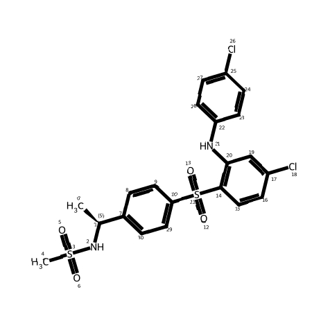 C[C@H](NS(C)(=O)=O)c1ccc(S(=O)(=O)c2ccc(Cl)cc2Nc2ccc(Cl)cc2)cc1